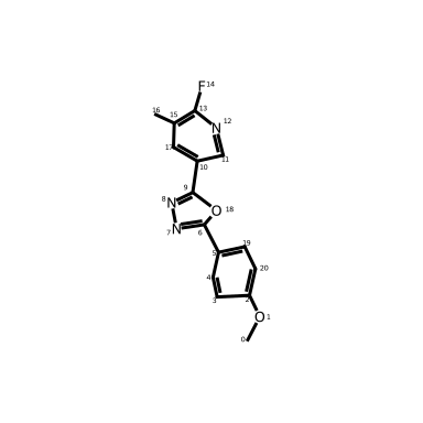 COc1ccc(-c2nnc(-c3cnc(F)c(C)c3)o2)cc1